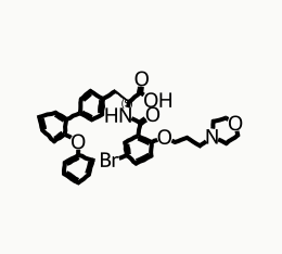 O=C(N[C@@H](Cc1ccc(-c2ccccc2Oc2ccccc2)cc1)C(=O)O)c1cc(Br)ccc1OCCCN1CCOCC1